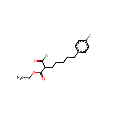 CCOC(=O)C(CCCCCc1ccc(Cl)cc1)C(=O)Cl